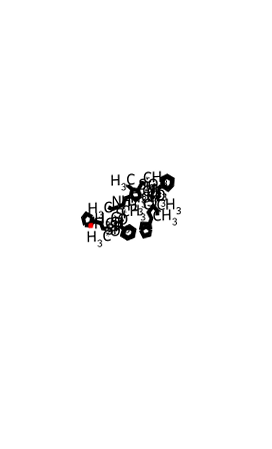 CCC1C(CCC(N)(CC)[Si](C)(C)O[Si](C)(O[Si](C)(C)CCC2CC3C=CC2C3)c2ccccc2)CC(C)C1C[Si](C)(C)O[Si](C)(O[Si](C)(C)C(C)(CC)CCC1CC2C=CC1C2)c1ccccc1